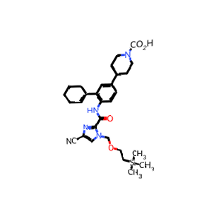 C[Si](C)(C)CCOCn1cc(C#N)nc1C(=O)Nc1ccc(C2CCN(C(=O)O)CC2)cc1C1=CCCCC1